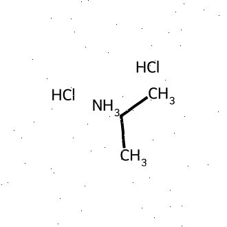 CCC.Cl.Cl.N